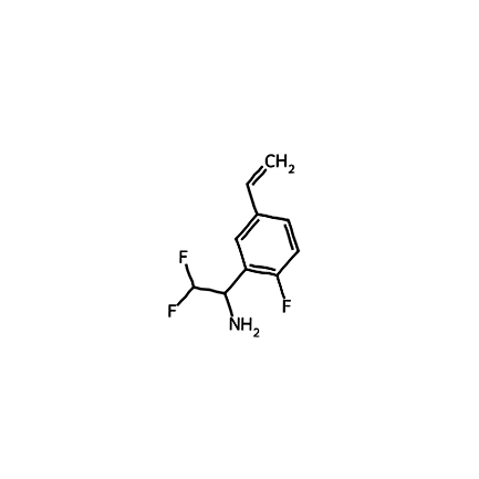 C=Cc1ccc(F)c(C(N)C(F)F)c1